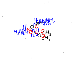 COc1ccc(NC(=O)CNC(=O)c2cc(NC(=O)[C@H](N)CCCNC(=N)N)ccc2OCCNC(=N)N)cc1C(C)=O